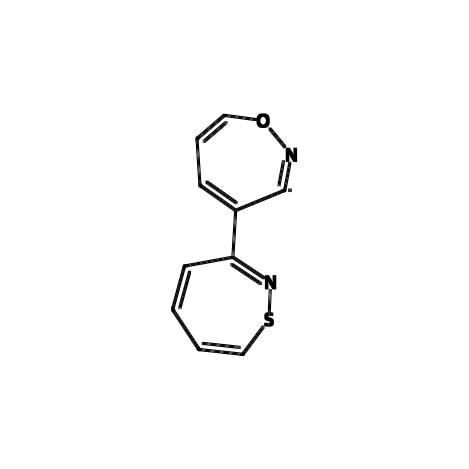 [C]1=NOC=CC=C1C1=NSC=CC=C1